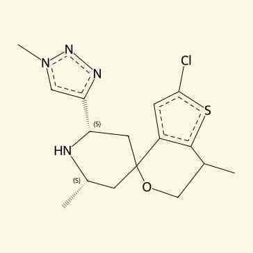 CC1COC2(C[C@@H](c3cn(C)nn3)N[C@@H](C)C2)c2cc(Cl)sc21